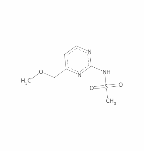 COCc1ccnc(NS(C)(=O)=O)n1